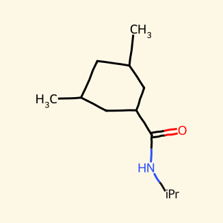 CC1CC(C)CC(C(=O)NC(C)C)C1